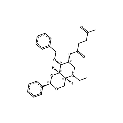 CC[SH]1C[C@H](OC(=O)CCC(C)=O)[C@H](OCc2ccccc2)[C@H]2O[C@H](c3ccccc3)OC[C@H]21